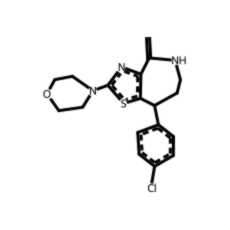 C=C1NCCC(c2ccc(Cl)cc2)c2sc(N3CCOCC3)nc21